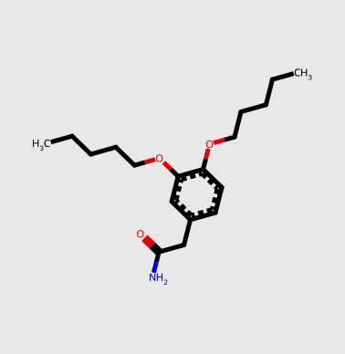 CCCCCOc1ccc(CC(N)=O)cc1OCCCCC